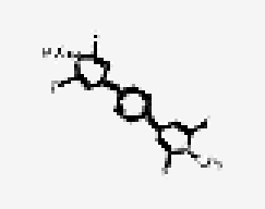 CN1C(F)=CC(=c2ccc(=C3C=C(F)N(C)C(F)=C3)cc2)C=C1F